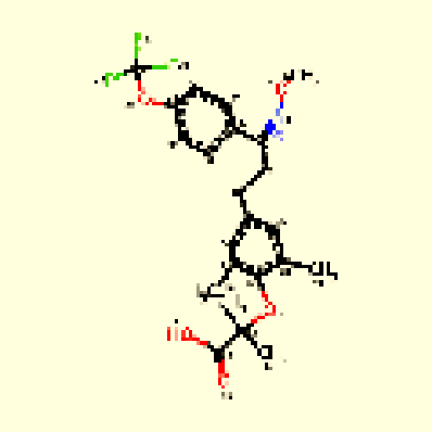 CO/N=C(/CCc1cc(C)c(OC(C)(C)C(=O)O)c(C)c1)c1ccc(OC(F)(F)F)cc1